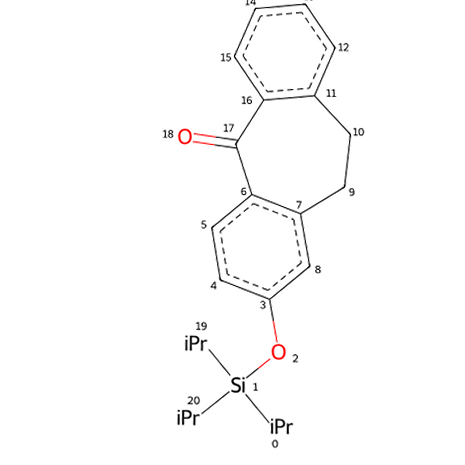 CC(C)[Si](Oc1ccc2c(c1)CCc1ccccc1C2=O)(C(C)C)C(C)C